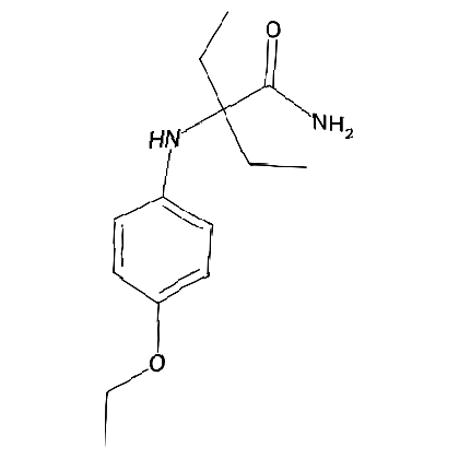 CCOc1ccc(NC(CC)(CC)C(N)=O)cc1